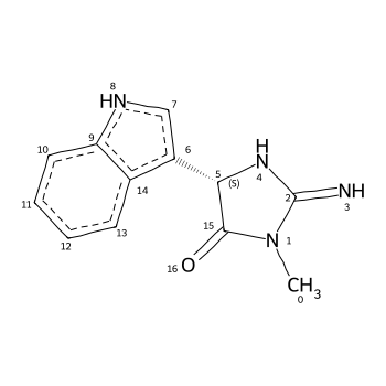 CN1C(=N)N[C@@H](c2c[nH]c3ccccc23)C1=O